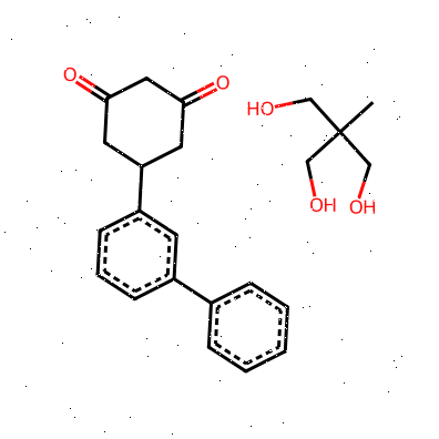 CC(CO)(CO)CO.O=C1CC(=O)CC(c2cccc(-c3ccccc3)c2)C1